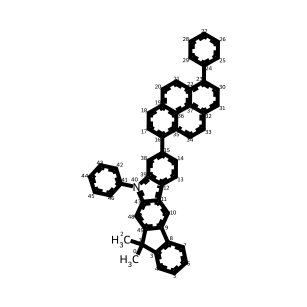 CC1(C)c2ccccc2-c2cc3c4ccc(-c5ccc6ccc7c(-c8ccccc8)ccc8ccc5c6c87)cc4n(-c4ccccc4)c3cc21